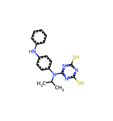 CC(C)N(c1ccc(Nc2ccccc2)cc1)c1nc(S)nc(S)n1